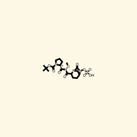 CON(C(=O)C1CCC2CN1C(=O)N2OS(=O)(=O)O)C(=O)[C@@H]1CCCN1C(=O)OC(C)(C)C